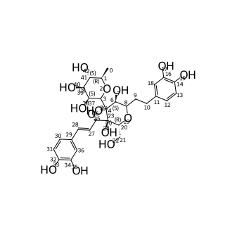 C[C@H]1OC([C@@]2(O)[C@@H](O)C(CCc3ccc(O)c(O)c3)O[C@H](CO)[C@]2(O)C(=O)C=Cc2ccc(O)c(O)c2)[C@@H](O)[C@@H](O)[C@@H]1O